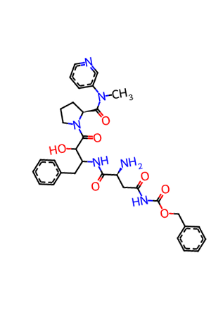 CN(C(=O)[C@@H]1CCCN1C(=O)C(O)C(Cc1ccccc1)NC(=O)[C@@H](N)CC(=O)NC(=O)OCc1ccccc1)c1cccnc1